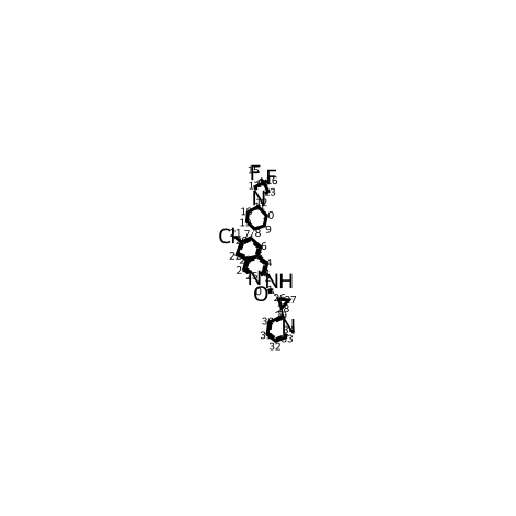 O=C(Nc1cc2cc([C@H]3CC[C@@H](N4CC(F)(F)C4)CC3)c(Cl)cc2cn1)[C@@H]1C[C@H]1c1ccccn1